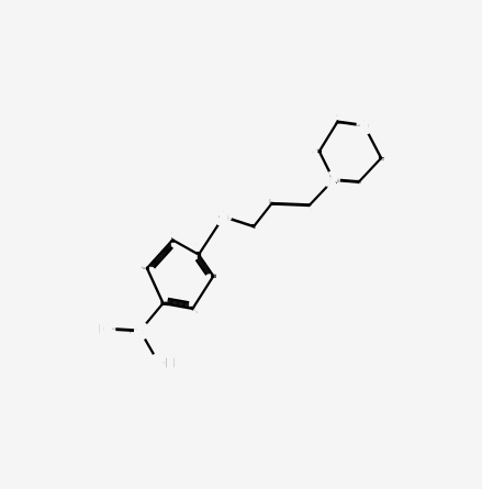 OB(O)c1ccc(OCCCN2CCOCC2)cc1